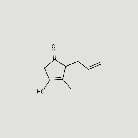 C=CCC1C(=O)CC(O)=C1C